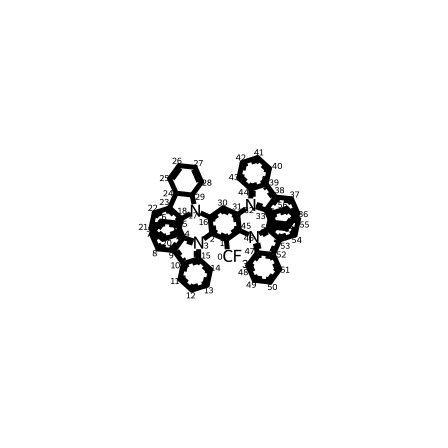 FC(F)(F)c1c(-n2c3ccccc3c3ccccc32)c(N2c3ccccc3C3C=CC=CC32)cc(-n2c3c#cccc3c3ccccc32)c1-n1c2ccccc2c2ccccc21